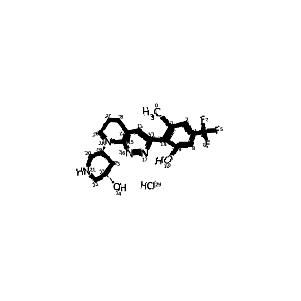 Cc1cc(C(F)(F)F)cc(O)c1-c1cc2c(nn1)N([C@H]1CNC[C@@H](O)C1)CCC2.Cl